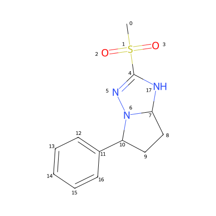 CS(=O)(=O)C1=NN2C(CCC2c2ccccc2)N1